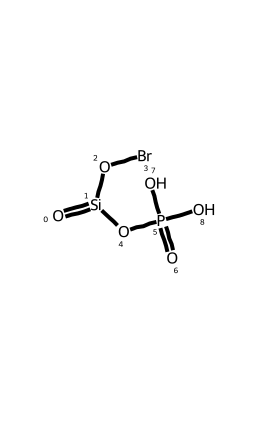 O=[Si](OBr)OP(=O)(O)O